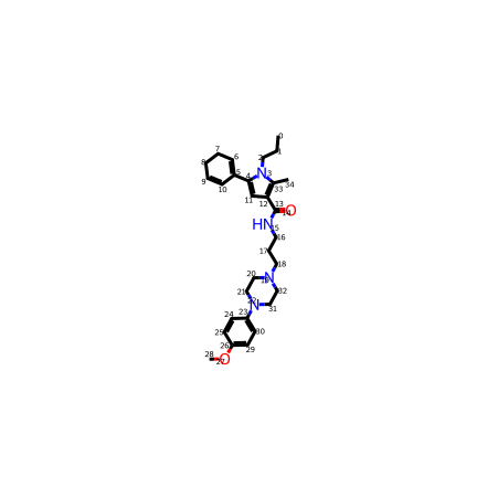 CCCn1c(C2=CCCC=C2)cc(C(=O)NCCCN2CCN(c3ccc(OC)cc3)CC2)c1C